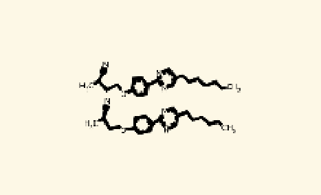 CCCCCCCc1cnc(-c2ccc(OCCC(C)C#N)cc2)nc1.CCCCCCc1cnc(-c2ccc(OCCC(C)C#N)cc2)nc1